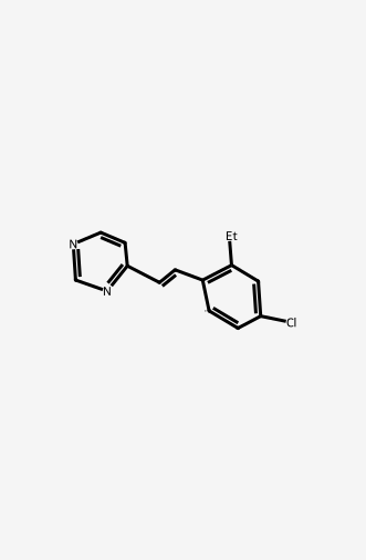 CCc1cc(Cl)c[c]c1C=Cc1ccncn1